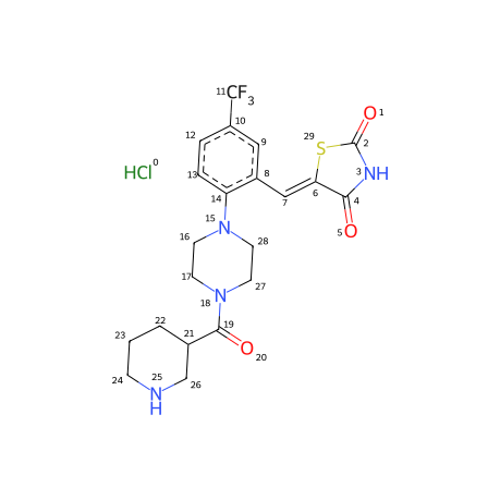 Cl.O=C1NC(=O)/C(=C/c2cc(C(F)(F)F)ccc2N2CCN(C(=O)C3CCCNC3)CC2)S1